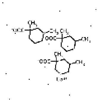 CC1CCCC(C)(C(=O)[O-])C1.CC1CCCC(C)(C(=O)[O-])C1.CC1CCCC(C)(C(=O)[O-])C1.[Ga+3]